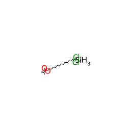 C=C(C)C(=O)OCCCCCCCCCCCCCC([SiH3])(Cl)Cl